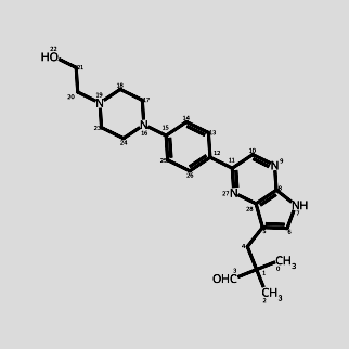 CC(C)(C=O)Cc1c[nH]c2ncc(-c3ccc(N4CCN(CCO)CC4)cc3)nc12